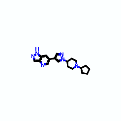 c1nc2cn[nH]c2cc1-c1cnn(C2CCN(C3CCCC3)CC2)c1